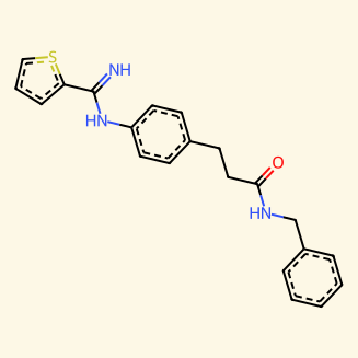 N=C(Nc1ccc(CCC(=O)NCc2ccccc2)cc1)c1cccs1